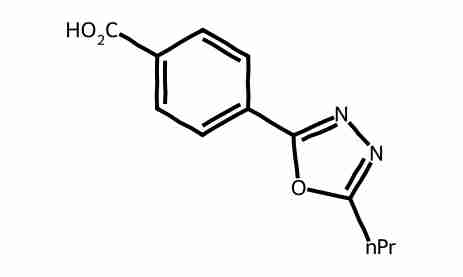 CCCc1nnc(-c2ccc(C(=O)O)cc2)o1